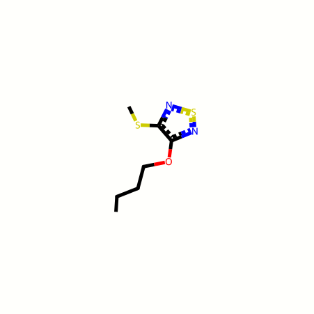 CCCCOc1nsnc1SC